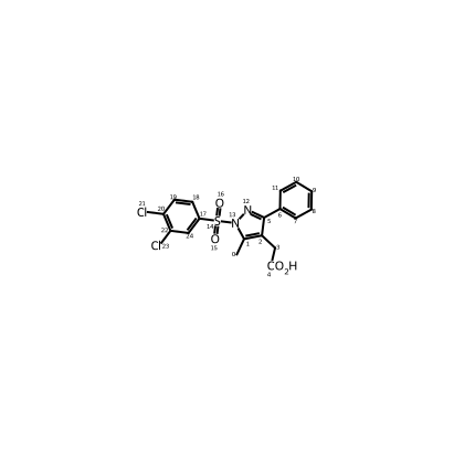 Cc1c(CC(=O)O)c(-c2ccccc2)nn1S(=O)(=O)c1ccc(Cl)c(Cl)c1